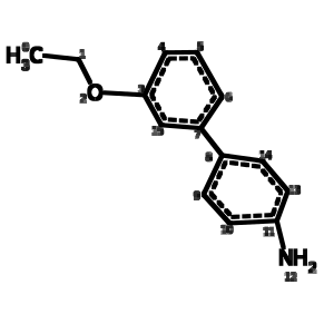 CCOc1cccc(-c2ccc(N)cc2)c1